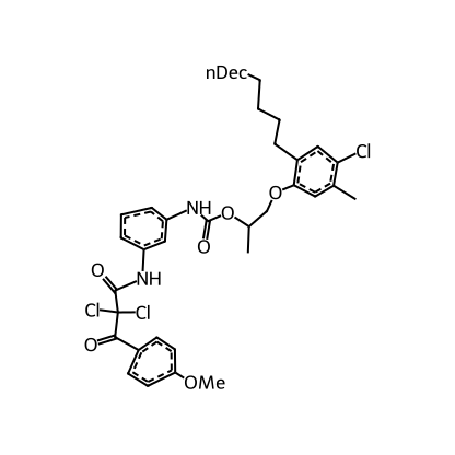 CCCCCCCCCCCCCCc1cc(Cl)c(C)cc1OCC(C)OC(=O)Nc1cccc(NC(=O)C(Cl)(Cl)C(=O)c2ccc(OC)cc2)c1